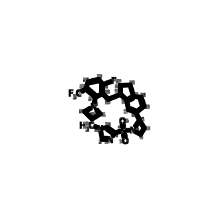 Cn1cnc(S(=O)(=O)N2CCC2c2ccc3c(c2)C(Cc2c(F)ccc(C(F)(F)F)c2N2CCC2)CC3)c1